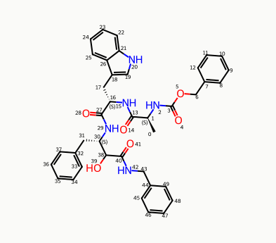 C[C@H](NC(=O)OCc1ccccc1)C(=O)N[C@@H](Cc1c[nH]c2ccccc12)C(=O)N[C@@H](Cc1ccccc1)C(O)C(=O)NCc1ccccc1